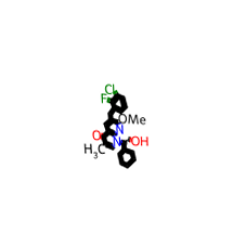 COc1nc2c(cc1Cc1cccc(Cl)c1F)c(=O)c(C)cn2[C@H](CO)C1CCCCC1